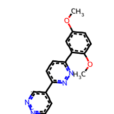 COc1ccc(OC)c(-c2ccc(-c3[c]nncc3)nn2)c1